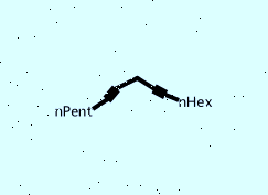 CCCCCC#CCC#CCCCCCC